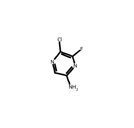 Nc1cnc(Cl)c(F)n1